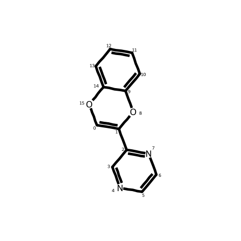 C1=C(c2cnccn2)Oc2ccccc2O1